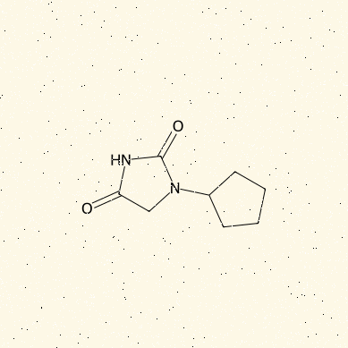 O=C1CN(C2CCCC2)C(=O)N1